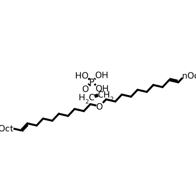 C=C.CCCCCCCCC=CCCCCCCCCOCCCCCCCCC=CCCCCCCCC.O=P(O)(O)O